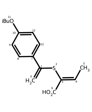 C=C(S/C(=C\C)C(=O)O)c1ccc(OCC(C)C)cc1